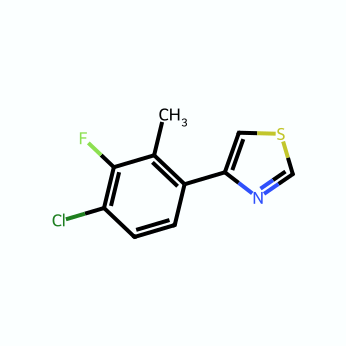 Cc1c(-c2cscn2)ccc(Cl)c1F